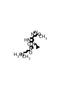 COc1cc(-c2c[nH]c(=O)c(N(CC3CC3)C3CN(C(=O)/C=C/CN(C)C)C3)c2)ncn1